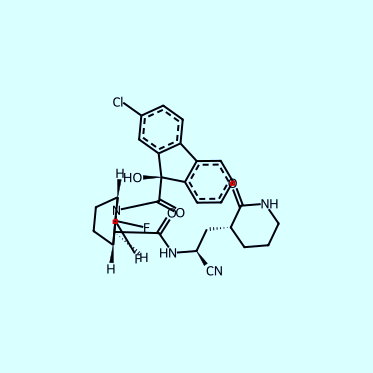 N#C[C@H](C[C@H]1CCCNC1=O)NC(=O)[C@H]1[C@@H]2CC[C@@H](CC2(F)F)N1C(=O)[C@@]1(O)c2ccccc2-c2ccc(Cl)cc21